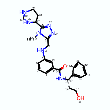 CCCn1c(CNc2cccc(C(=O)N[C@@H](CCO)c3ccccc3)c2)nnc1C1CCNCN1